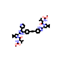 COC(=O)N[C@H](C(=O)N1CC2(CC2)C[C@H]1c1nc(-c2cccnc2)c(-c2ccc(C#Cc3ccc4nc([C@@H]5CC6(CC6)CN5C(=O)[C@@H](NC(=O)OC)C(C)C)[nH]c4c3)cc2)[nH]1)C(C)C